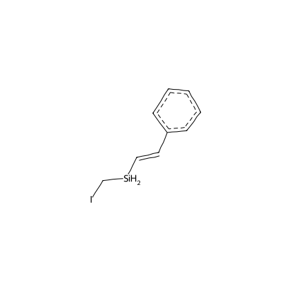 IC[SiH2]C=Cc1ccccc1